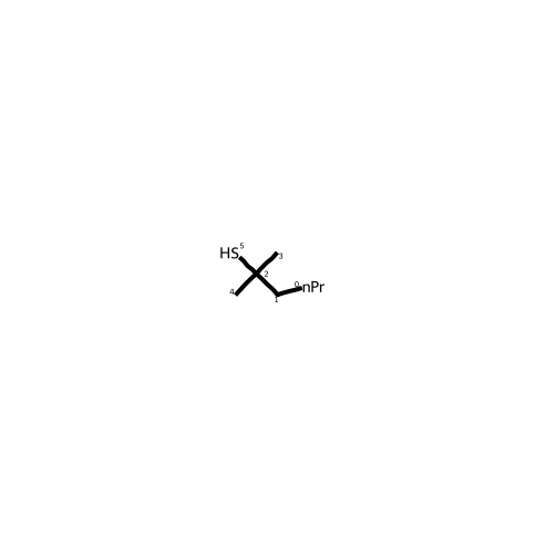 CCCCC(C)(C)S